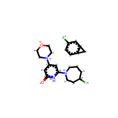 Fc1ccc2c(c1)C2.O=c1cc(N2CCOCC2)cc(N2CCCC(F)CC2)[nH]1